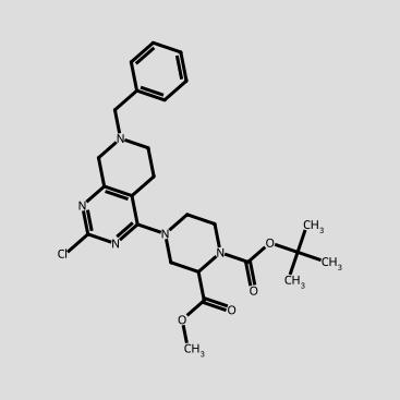 COC(=O)C1CN(c2nc(Cl)nc3c2CCN(Cc2ccccc2)C3)CCN1C(=O)OC(C)(C)C